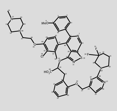 COc1cccc(-c2ncc3snc(OC(Cc4ccccc4OCc4ccnc(N5CCCC(F)(F)C5)n4)C(=O)O)c3c2-c2ccc(OCCN3CCN(C)CC3)c(Cl)c2C)c1